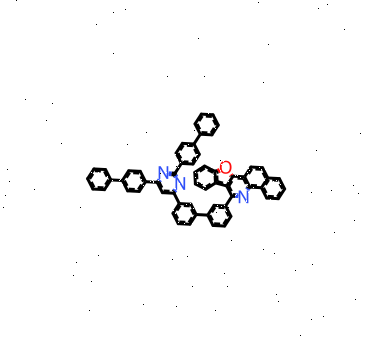 c1ccc(-c2ccc(-c3cc(-c4cccc(-c5cccc(-c6nc7c8ccccc8ccc7c7oc8ccccc8c67)c5)c4)nc(-c4ccc(-c5ccccc5)cc4)n3)cc2)cc1